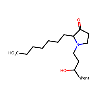 CCCCCC(O)CCN1CCC(=O)C1CCCCCCC(=O)O